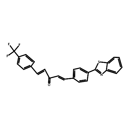 O=C(C=Cc1ccc(-c2nc3ccccc3s2)cc1)C=Cc1ccc(C(F)(F)F)cc1